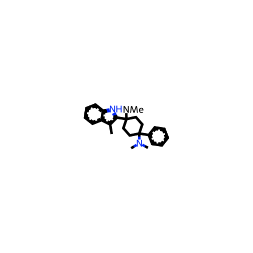 CNC1(c2[nH]c3ccccc3c2C)CCC(c2ccccc2)(N(C)C)CC1